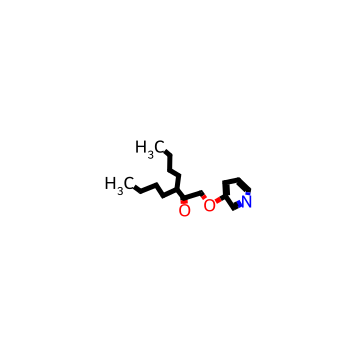 CCCCC(CCCC)C(=O)COc1cccnc1